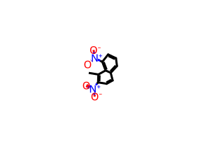 Cc1c([N+](=O)[O-])ccc2cccc([N+](=O)[O-])c12